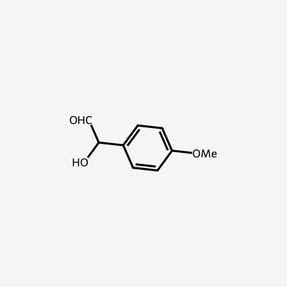 COc1ccc(C(O)C=O)cc1